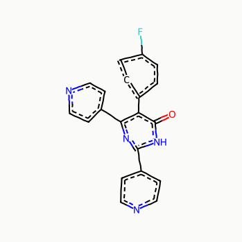 O=c1[nH]c(-c2ccncc2)nc(-c2ccncc2)c1-c1ccc(F)cc1